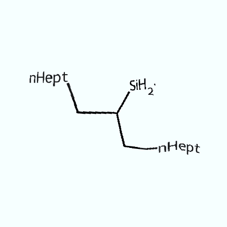 CCCCCCCCC([SiH2])CCCCCCCC